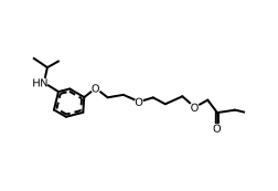 CCC(=O)COCCCOCCOc1cccc(NC(C)C)c1